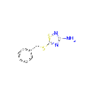 Nc1nsc(SCc2ccccc2)n1